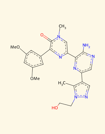 COc1cc(OC)cc(-c2nc(-c3nc(-c4cnn(CCO)c4C)cnc3N)cn(C)c2=O)c1